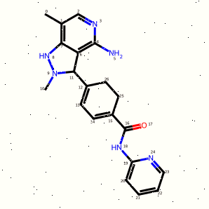 Cc1cnc(N)c2c1NN(C)C2C1=CC=C(C(=O)Nc2ccccn2)CC1